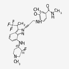 C=C(c1c2cccc(N[C@@H]3CCN(C)C[C@@H]3F)c2nn1C#CCNc1ccc(C(=O)NC)cc1OC)C(F)(F)F